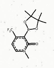 Cn1ccc(C(F)(F)F)c(B2OC(C)(C)C(C)(C)O2)c1=O